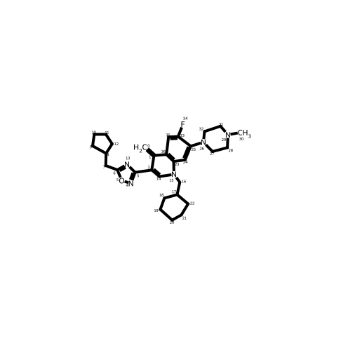 C=C1C(c2noc(CC3CCCC3)n2)=CN(CC2CCCCC2)c2cc(N3CCN(C)CC3)c(F)cc21